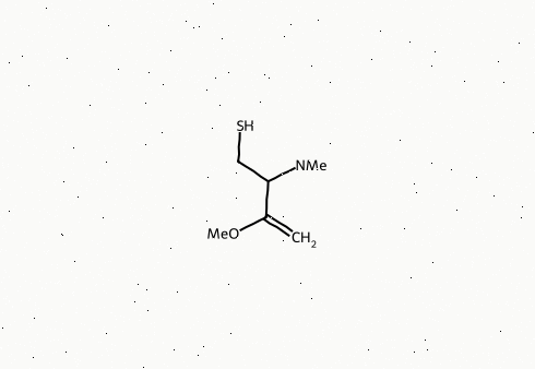 C=C(OC)C(CS)NC